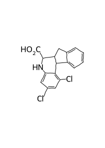 O=C(O)C1Nc2cc(Cl)cc(Cl)c2C2c3ccccc3CC12